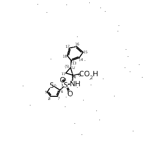 O=C(O)[C@@]1(NS(=O)(=O)c2cccs2)C[C@H]1c1ccccc1